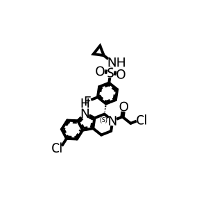 O=C(CCl)N1CCc2c([nH]c3ccc(Cl)cc23)[C@@H]1c1ccc(S(=O)(=O)NC2CC2)cc1F